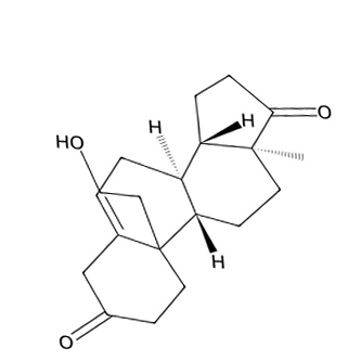 C[C@]12CC[C@H]3[C@@H](CC=C4CC(=O)CCC43CCO)[C@@H]1CCC2=O